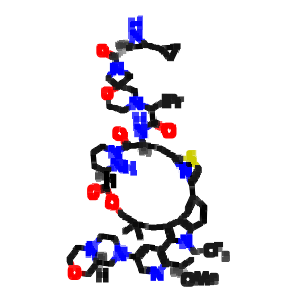 CO[C@@H](C)c1ncc(N2CCN3CCOC[C@@H]3C2)cc1-c1c2c3cc(ccc3n1CC(F)(F)F)-c1csc(n1)C[C@H](NC(=O)C(C(C)C)N1CCOC3(CN(C(=O)[C@@H]4NC4C4CC4)C3)C1)C(=O)N1CCC[C@H](N1)C(=O)OCC(C)(C)C2